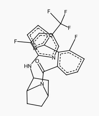 O=C(c1cccc(F)c1-c1ncco1)N1C2CCC1C(Nc1ncc(C(F)(F)F)cc1F)C2